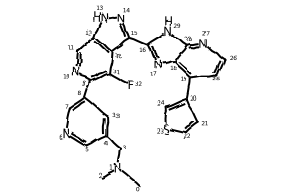 CN(C)Cc1cncc(-c2ncc3[nH]nc(-c4nc5c(-c6ccsc6)ccnc5[nH]4)c3c2F)c1